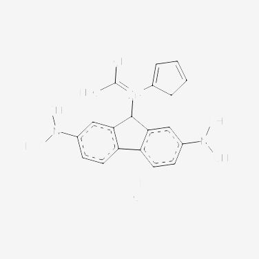 C[C](C)=[Zr+2]([C]1=CC=CC1)[CH]1c2cc(N(C)C)ccc2-c2ccc(N(C)C)cc21.[Cl-].[Cl-]